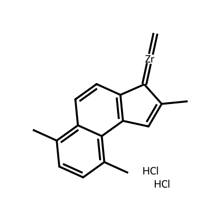 Cl.Cl.[CH2]=[Zr]=[C]1C(C)=Cc2c1ccc1c(C)ccc(C)c21